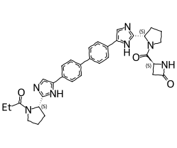 CCC(=O)N1CCC[C@H]1c1ncc(-c2ccc(-c3ccc(-c4cnc([C@@H]5CCCN5C(=O)[C@@H]5CC(=O)N5)[nH]4)cc3)cc2)[nH]1